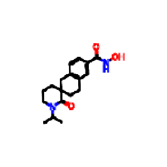 CC(C)N1CCCC2(CCc3cc(C(=O)NO)ccc3C2)C1=O